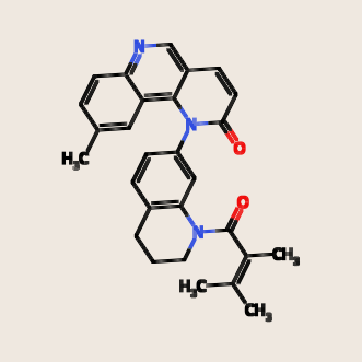 CC(C)=C(C)C(=O)N1CCCc2ccc(-n3c(=O)ccc4cnc5ccc(C)cc5c43)cc21